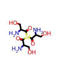 NC(CO)C(=O)[S+](C(=O)C(N)CO)C(=O)C(N)CO